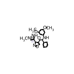 CN/C=C(\C=N)c1nocc1C(=O)C(Nc1cc(OC)cc(OC)c1)c1ccccc1